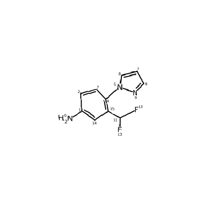 Nc1ccc(-n2cccn2)c(C(F)F)c1